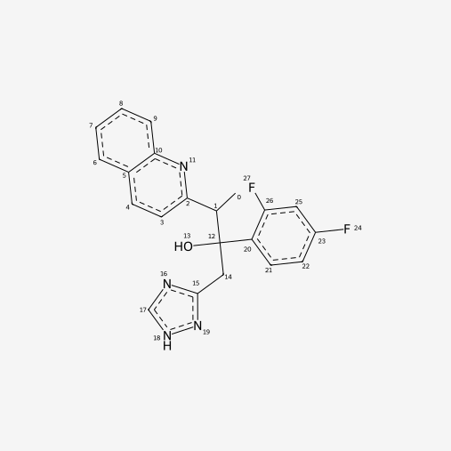 CC(c1ccc2ccccc2n1)C(O)(Cc1nc[nH]n1)c1ccc(F)cc1F